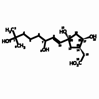 CC(C)(O)CCCC(O)C=C[C@]1(O)C[C@@H](CC(=O)O)[C@@H](O)C1